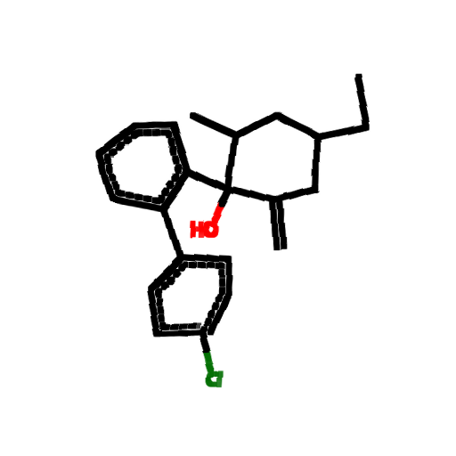 C=C1CC(CC)CC(C)C1(O)c1ccccc1-c1ccc(Cl)cc1